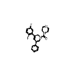 O=C(N1CCOCC1)N1CC(c2cc(F)ccc2F)=CC(c2ccccc2)C1